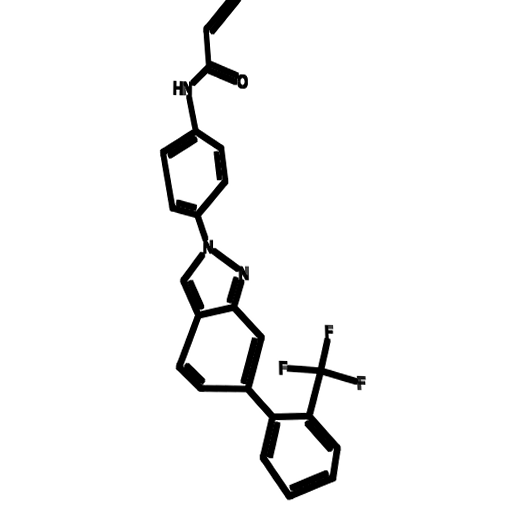 C=CC(=O)Nc1ccc(-n2cc3ccc(-c4ccccc4C(F)(F)F)cc3n2)cc1